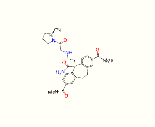 CNC(=O)c1ccc2c(c1)CCc1cc(C(=O)NC)ccc1C2(CCNCC(=O)N1CCC[C@H]1C#N)C(N)=O